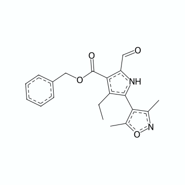 CCc1c(-c2c(C)noc2C)[nH]c(C=O)c1C(=O)OCc1ccccc1